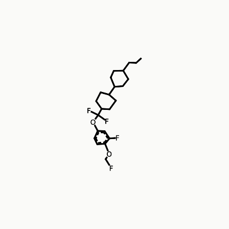 CCCC1CCC(C2CCC(C(F)(F)Oc3ccc(OCF)c(F)c3)CC2)CC1